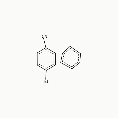 CCc1ccc(C#N)cc1.[c]1ccccc1